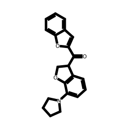 O=C(c1cc2ccccc2o1)C1COc2c1cccc2N1CCCC1